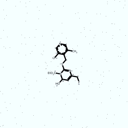 CCOC(=O)N1C(SCc2c(C)cncc2Cl)=NC(CF)=CC1O